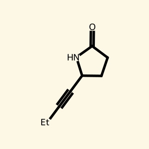 CCC#CC1CCC(=O)N1